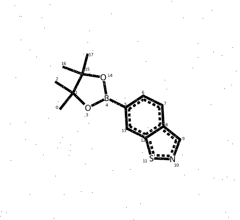 CC1(C)OB(c2ccc3cnsc3c2)OC1(C)C